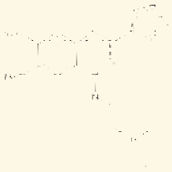 COc1cc2nc(-n3ccnc3)nc(NCCN(C)C)c2cc1OC